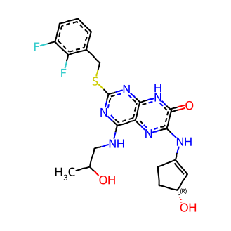 CC(O)CNc1nc(SCc2cccc(F)c2F)nc2[nH]c(=O)c(NC3=C[C@H](O)CC3)nc12